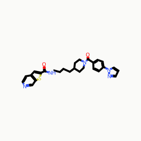 O=C(NCCCCC1CCN(C(=O)c2ccc(-n3cccn3)cc2)CC1)c1cc2ccncc2s1